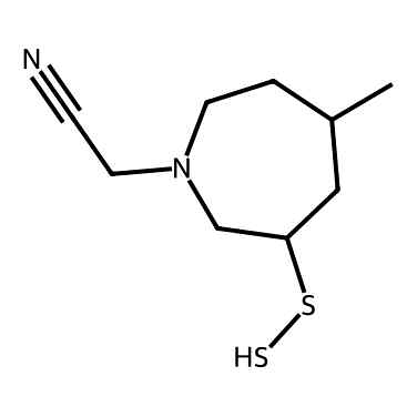 CC1CCN(CC#N)CC(SS)C1